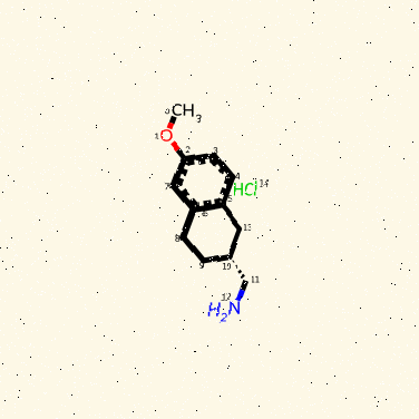 COc1ccc2c(c1)CC[C@@H](CN)C2.Cl